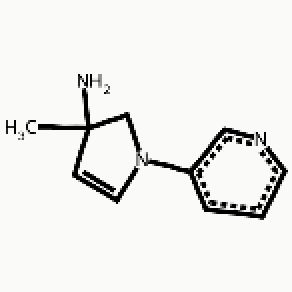 CC1(N)C=CN(c2cccnc2)C1